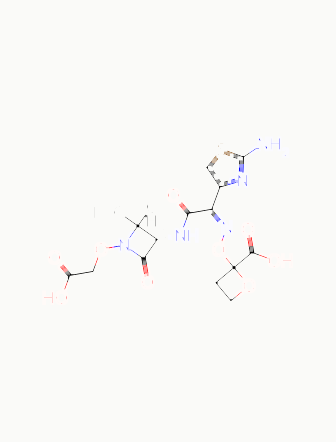 CC1(C)[C@H](NC(=O)/C(=N\OC2(C(=O)O)CCO2)c2csc(N)n2)C(=O)N1OCC(=O)O